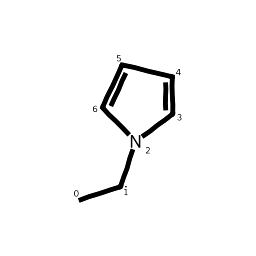 C[CH]n1cccc1